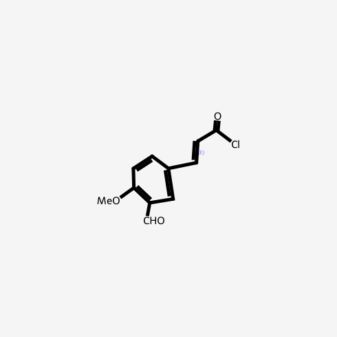 COc1ccc(/C=C/C(=O)Cl)cc1C=O